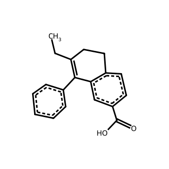 CCC1=C(c2ccccc2)c2cc(C(=O)O)ccc2CC1